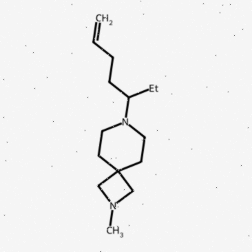 C=CCCC(CC)N1CCC2(CC1)CN(C)C2